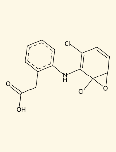 O=C(O)Cc1ccccc1NC1=C(Cl)C=CC2OC12Cl